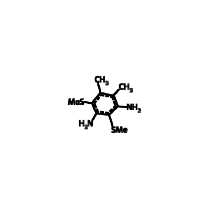 CSc1c(C)c(C)c(N)c(SC)c1N